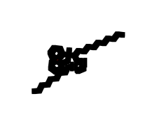 CCCCCCCCCCC(c1nccn1CCCCCCCCC)C(C)(Cc1ccccc1)c1ccccc1